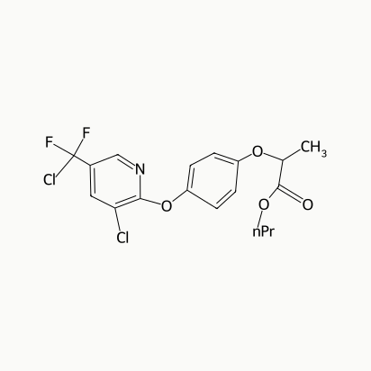 CCCOC(=O)C(C)Oc1ccc(Oc2ncc(C(F)(F)Cl)cc2Cl)cc1